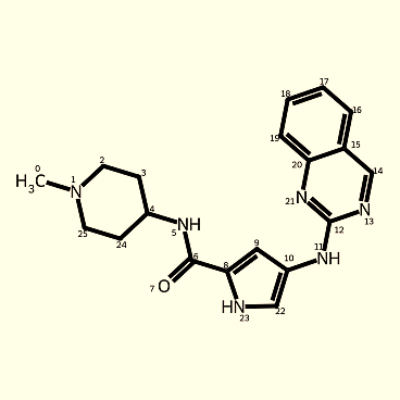 CN1CCC(NC(=O)c2cc(Nc3ncc4ccccc4n3)c[nH]2)CC1